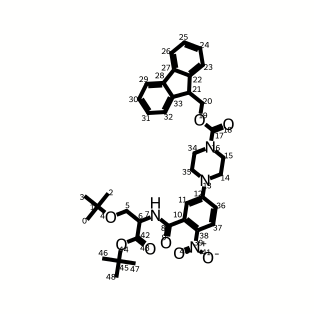 CC(C)(C)OCC(NC(=O)c1cc(N2CCN(C(=O)OCC3c4ccccc4-c4ccccc43)CC2)ccc1[N+](=O)[O-])C(=O)OC(C)(C)C